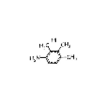 Cc1ccc(N)c(C)c1C.I